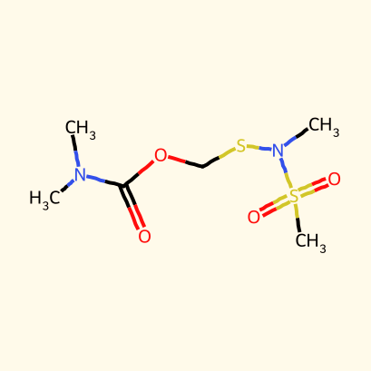 CN(C)C(=O)OCSN(C)S(C)(=O)=O